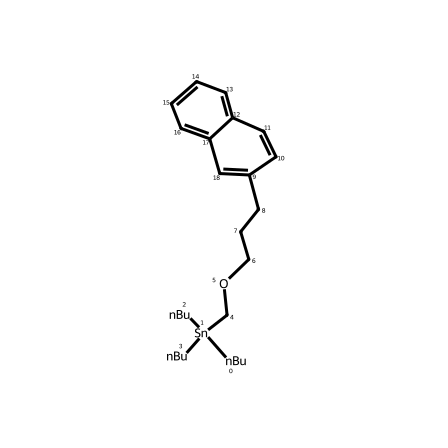 CCC[CH2][Sn]([CH2]CCC)([CH2]CCC)[CH2]OCCCc1ccc2ccccc2c1